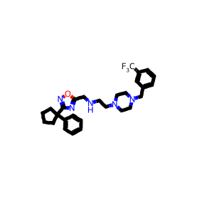 FC(F)(F)c1cccc(CN2CCN(CCNCc3nc(C4(c5ccccc5)CCCC4)no3)CC2)c1